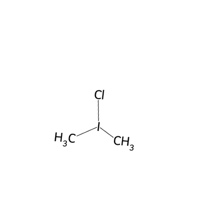 CI(C)Cl